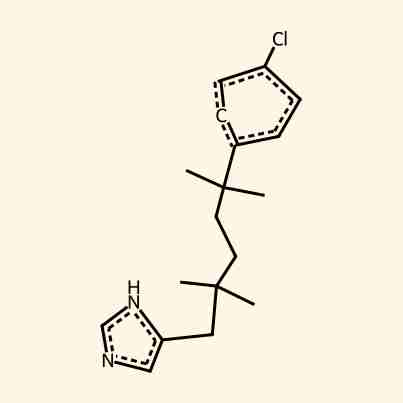 CC(C)(CCC(C)(C)c1ccc(Cl)cc1)Cc1cnc[nH]1